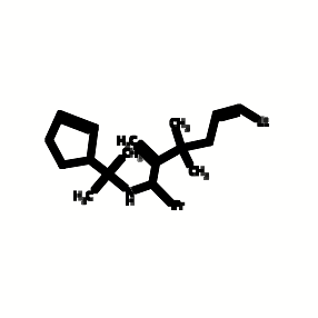 C=C(C(NC(C)(C)C1C=CCC1)C(C)C)C(C)(C)C/C=C\CC